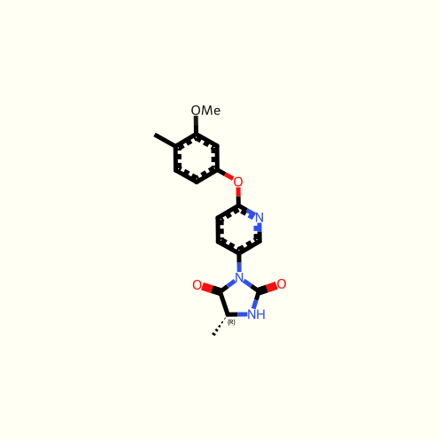 COc1cc(Oc2ccc(N3C(=O)N[C@H](C)C3=O)cn2)ccc1C